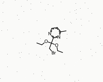 CCOC(CBr)(OCC)c1nccc(C)n1